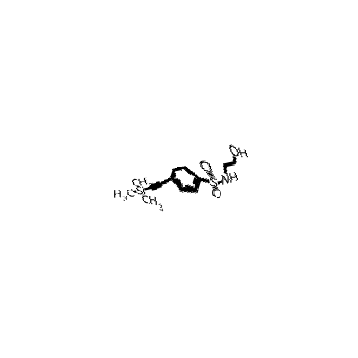 C[Si](C)(C)C#Cc1ccc(S(=O)(=O)NCCO)cc1